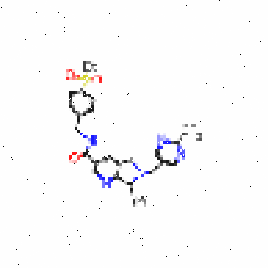 CCS(=O)(=O)c1ccc(CNC(=O)c2cnc3c(c2)CN(Cc2cnc(C(F)(F)F)nc2)C3C(C)C)cc1